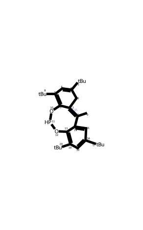 C/C1=C2\CC(C(C)(C)C)=CC(C(C)(C)C)=C2OPOc2c1cc(C(C)(C)C)cc2C(C)(C)C